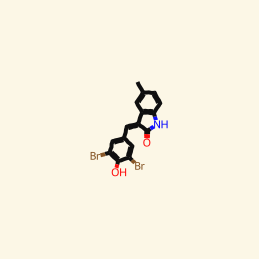 Cc1ccc2c(c1)C(=Cc1cc(Br)c(O)c(Br)c1)C(=O)N2